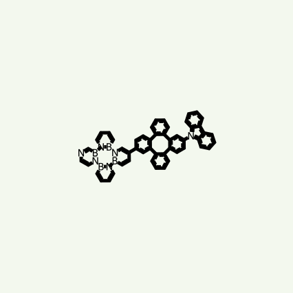 C1=CB2N3C=CN=CB3N3C=CC=CB3N3C=C(c4ccc5c(c4)-c4ccccc4-c4ccc(-n6c7ccccc7c7ccccc76)cc4-c4ccccc4-5)C=CB3N2C=C1